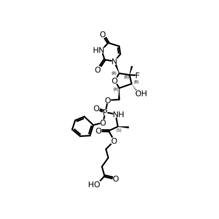 C[C@H](NP(=O)(OC[C@H]1O[C@@H](n2ccc(=O)[nH]c2=O)[C@](C)(F)[C@@H]1O)Oc1ccccc1)C(=O)OCCCC(=O)O